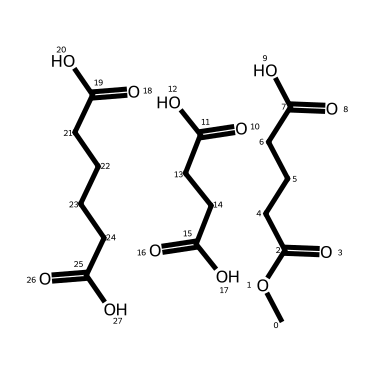 COC(=O)CCCC(=O)O.O=C(O)CCC(=O)O.O=C(O)CCCCC(=O)O